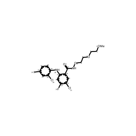 COCCOCCONC(=O)c1cc(Cl)c(F)cc1Nc1ccc(I)cc1Cl